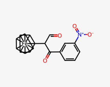 O=CC(C(=O)c1cccc([N+](=O)[O-])c1)[C]12[CH]3[CH]4[CH]5[CH]1[Fe]45321678[CH]2[CH]1[CH]6[CH]7[CH]28